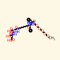 CCOCCOCCOCCOCCOCCNC(=O)[C@H](Cc1ccccc1)NC(=O)[C@H](CCc1ccccc1)NC(=O)CCCCCCCNC(=O)CC[C@H](NC(=O)N[C@@H](CCC(=O)O)C(=O)O)C(=O)O